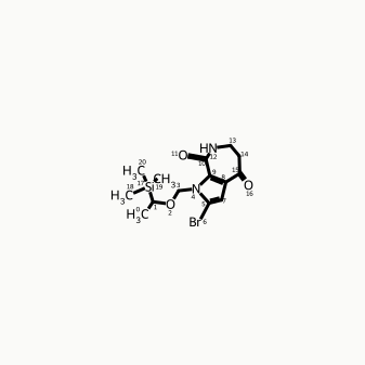 CC(OCn1c(Br)cc2c1C(=O)NCCC2=O)[Si](C)(C)C